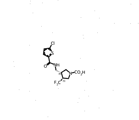 O=C(NC[C@@H]1CN(C(=O)O)C[C@H]1C(F)(F)F)c1ccc(Cl)s1